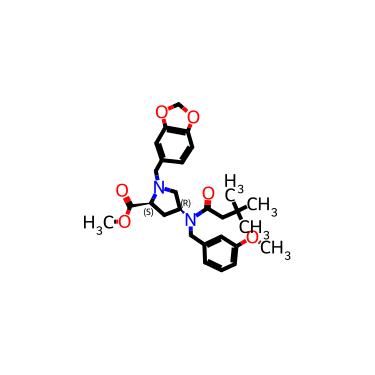 COC(=O)[C@@H]1C[C@@H](N(Cc2cccc(OC)c2)C(=O)CC(C)(C)C)CN1Cc1ccc2c(c1)OCO2